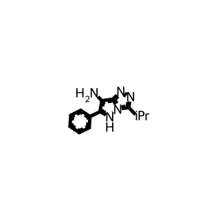 CC(C)c1nnc2c(N)c(-c3ccccc3)[nH]n12